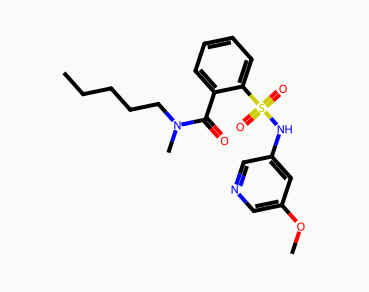 CCCCCN(C)C(=O)c1ccccc1S(=O)(=O)Nc1cncc(OC)c1